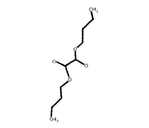 CCCCOC(Cl)C(Cl)OCCCC